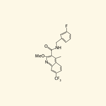 COc1nc2cc(C(F)(F)F)ccc2c(C)c1C(=O)NCc1cccc(F)c1